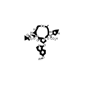 CC(C)Oc1ccc2c(O[C@@H]3C[C@H]4C(=O)N[C@]5(C(=O)NS(=O)(=O)C6(C)CC6)C[C@H]5/C=C\CC[C@@H](C)C[C@@H](C)[C@H](N(C(=O)O)[C@H]5CC6C[C@H]6C5)C(=O)N4C3)nccc2c1